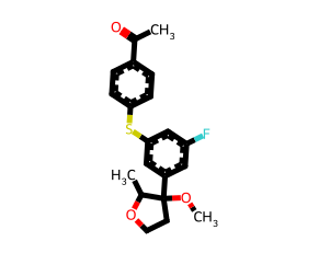 COC1(c2cc(F)cc(Sc3ccc(C(C)=O)cc3)c2)CCOC1C